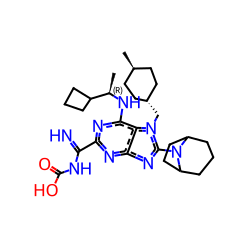 C[C@@H](Nc1nc(C(=N)NC(=O)O)nc2nc(N3C4CCCC3CC4)n(C[C@H]3CC[C@H](C)CC3)c12)C1CCC1